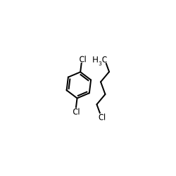 CCCCCCl.Clc1ccc(Cl)cc1